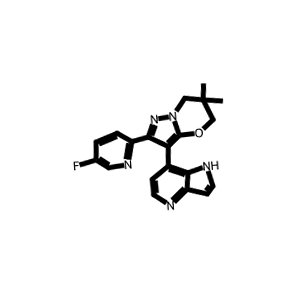 CC1(C)COc2c(-c3ccnc4cc[nH]c34)c(-c3ccc(F)cn3)nn2C1